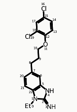 CCn1c(=N)[nH]c2cc(CCCOc3ccc(Cl)cc3Cl)ccc21